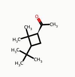 CC(=O)[C@H]1CC(C(C)(C)C)C1(C)C